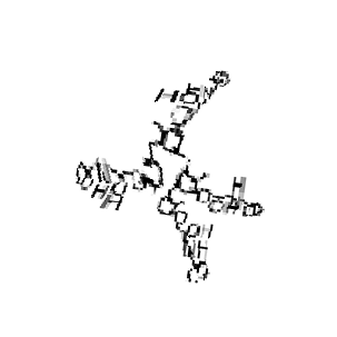 Cc1ccc(Cc2cc(Cc3cc(Cc4cccc(OCC(O)CNCc5ccco5)c4C)cc(OCC(O)CNCc4ccco4)c3C)cc(OCC(O)CNCc3ccco3)c2C)cc1OCC(O)CNCc1ccco1